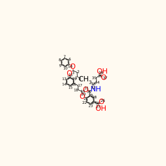 CCCC(Oc1ccccc1)Oc1cccc(CCCOc2ccc(C(=O)O)cc2C(=O)NCCCC(=O)O)c1